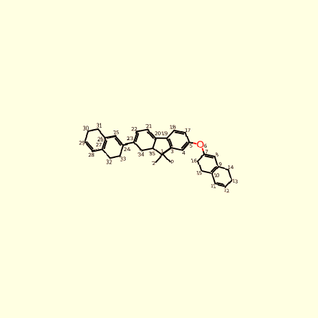 CC1(C)c2cc(OC3=CC4=C(C=CCC4)CC3)ccc2C2=CC=C(C3=CC4=C(C=CCC4)CC3)CC21